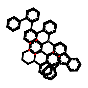 c1ccc(-c2ccccc2-c2ccccc2-c2ccccc2N(c2ccc3c4ccccc4n(-c4ccccc4)c3c2)c2ccccc2-c2cccc3cccc(C4CCCCC4)c23)cc1